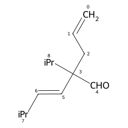 C=CCC(C=O)(C=CC(C)C)C(C)C